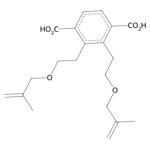 C=C(C)COCCc1c(C(=O)O)ccc(C(=O)O)c1CCOCC(=C)C